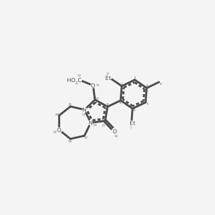 CCc1cc(C)cc(CC)c1-c1c(OC(=O)O)n2n(c1=O)CCOCC2